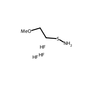 COCCSN.F.F.F